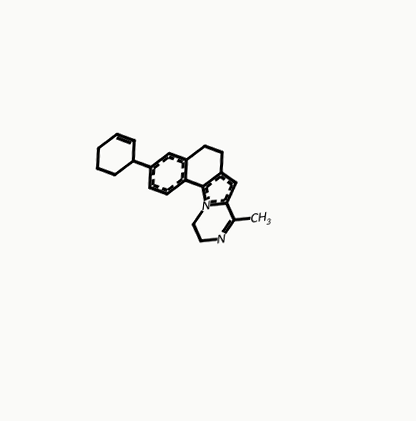 CC1=NCCn2c1cc1c2-c2ccc(C3C=CCCC3)cc2CC1